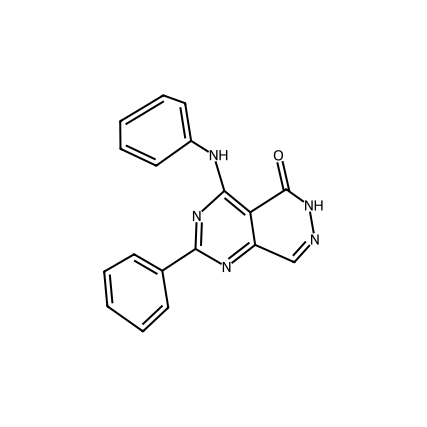 O=c1[nH]ncc2nc(-c3ccccc3)nc(Nc3ccccc3)c12